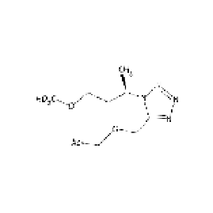 CC(=O)COCc1nnnn1[C@H](C)CCOC(=O)O